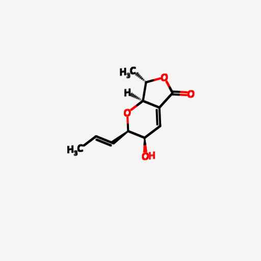 C/C=C/[C@H]1O[C@@H]2C(=C[C@H]1O)C(=O)O[C@H]2C